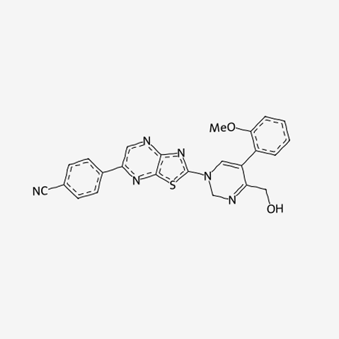 COc1ccccc1C1=CN(c2nc3ncc(-c4ccc(C#N)cc4)nc3s2)CN=C1CO